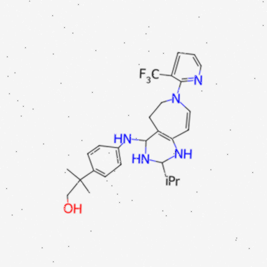 CC(C)C1NC2=C(CCN(c3ncccc3C(F)(F)F)C=C2)C(Nc2ccc(C(C)(C)CO)cc2)N1